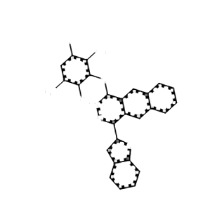 FC(F)(F)c1cc(C(F)(F)F)c(C(F)(F)F)c(Oc2nnc(-c3cc4ccccc4o3)c3cc4ccccc4cc23)c1C(F)(F)F